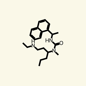 CCCC(CCNCC)N(C)C(=O)NC(C)c1cccc2ccccc12